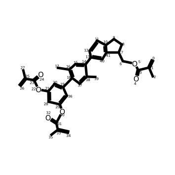 C=C(C)C(=O)OCC1CCc2ccc(-c3cc(C)c(-c4cc(OC(=O)C(=C)C)cc(OC(=O)C(=C)C)c4)cc3C)cc21